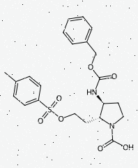 Cc1ccc(S(=O)(=O)OCC[C@@H]2[C@@H](NC(=O)OCc3ccccc3)CCN2C(=O)O)cc1